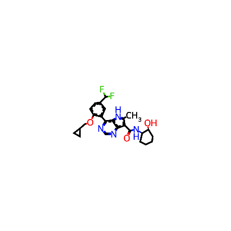 Cc1[nH]c2c(-c3cc(C(F)F)ccc3OCC3CC3)ncnc2c1C(=O)N[C@@H]1CCCC[C@@H]1O